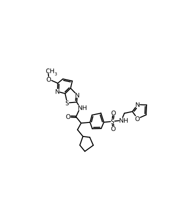 COc1ccc2nc(NC(=O)C(CC3CCCC3)c3ccc(S(=O)(=O)NCc4ncco4)cc3)sc2n1